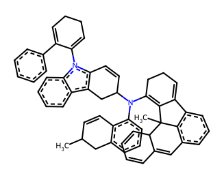 CC1C=Cc2c(cccc2N(C2=C3C(=CCC2)c2cccc4c2C3(C)C2C=CC=CC2=C4)C2C=Cc3c(c4ccccc4n3C3=CCCC=C3c3ccccc3)C2)C1